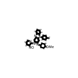 COC1CCC(/N=c2\cc3n(-c4ccc(F)cc4)c4ccccc4nc-3cc2Nc2ncccc2N=O)CC1